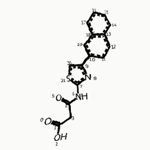 O=C(O)CC(=O)Nc1nc(-c2ccc3ccccc3c2)cs1